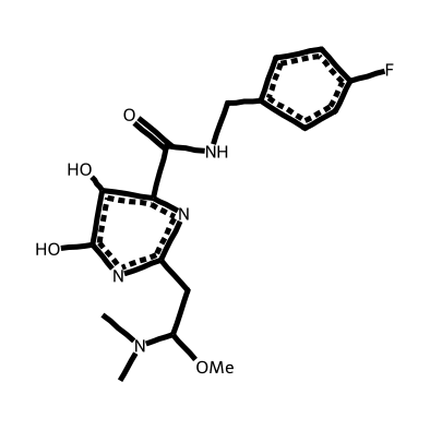 COC(Cc1nc(O)c(O)c(C(=O)NCc2ccc(F)cc2)n1)N(C)C